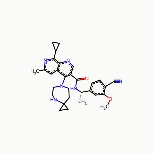 COc1cc([C@H](C)NC(=O)c2cnc3c(C4CC4)nc(C)cc3c2N2CCNC3(CC2)CC3)ccc1C#N